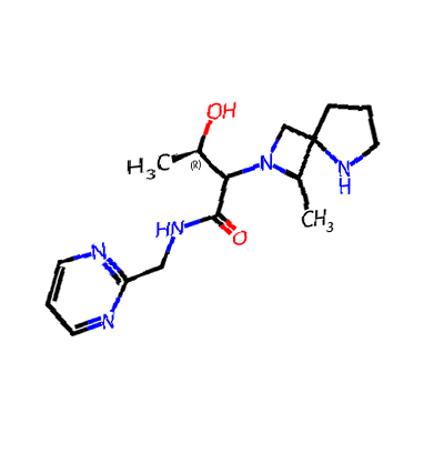 CC1N(C(C(=O)NCc2ncccn2)[C@@H](C)O)CC12CCCN2